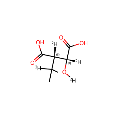 [2H]O[C@@]([2H])(C(=O)O)[C@@]([2H])(C(=O)O)C([2H])(C)C